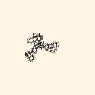 C=CC1C=CC=CC1C(=C)C1=CC(c2cc(-c3ccc(-c4cncc5ccccc45)cc3)nc(-c3ccc(C4=c5ccccc5=CCC4)cc3)n2)=CCC1